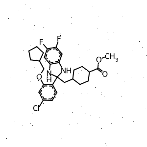 COC(=O)C1CCC(CC2(c3ccc(Cl)cc3OCC3CCCC3)Nc3cc(F)c(F)cc3N2)CC1